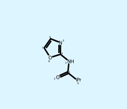 CC(C)C(=O)Nc1ncco1